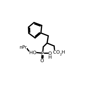 CCCC.O=C(O)CC(Cc1ccccc1)CP(=O)(O)O